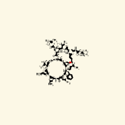 CCCC(C)OC(=O)CCC(=O)N[C@@H](CCNC(=O)OC(C)(C)C)C(=O)N[C@H](C(=O)N[C@@H](CNC(=O)OC(C)(C)C)C(=O)N[C@H]1CCNC(=O)[C@H](C(C)O)NC(=O)[C@H](CCN)NC(=O)[C@H](CCN)NC(=O)[C@H](CC(C)C)NC(=O)[C@@H](Cc2ccccc2)NC(=O)[C@H](CCN)NC1=O)C(C)O